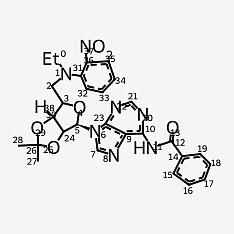 CCN(CC1O[C@@H](n2cnc3c(NC(=O)c4ccccc4)ncnc32)C2OC(C)(C)O[C@H]12)c1ccccc1[N+](=O)[O-]